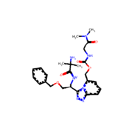 CN(C)C(=O)CNC(=O)OCc1cccc2nnc([C@@H](COCc3ccccc3)NC(=O)C(C)(C)N)n12